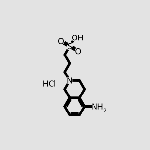 Cl.Nc1cccc2c1CCN(CCCS(=O)(=O)O)C2